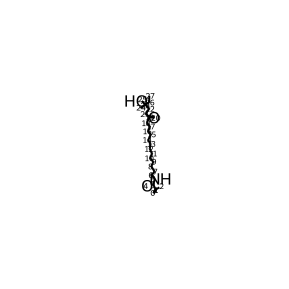 C=C(C)C(=O)NCCCCCCCCCCCCCC(=O)CCC(C)(O)CC